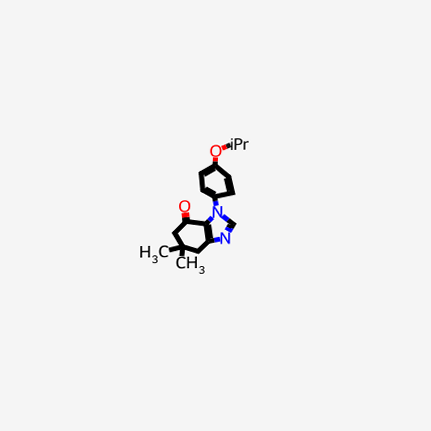 CC(C)Oc1ccc(-n2cnc3c2C(=O)CC(C)(C)C3)cc1